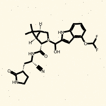 CC1(C)[C@@H]2[C@@H](C(=O)N[C@H](C#N)C[C@@H]3CCNC3=O)N(C(O)c3cc4c(OC(F)F)cccc4[nH]3)C[C@@H]21